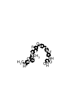 CNc1cc(=O)n(-c2ccnc3c2cc(CN2CC=C(c4c(F)cc(C(=O)N5CCC(CN6CCN(c7ccc(NC8CCC(=O)NC8=O)cc7F)CC6)CC5)cc4F)CC2)n3C)cc1F